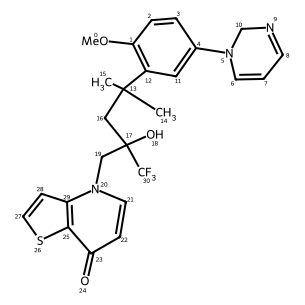 COc1ccc(N2C=CC=NC2)cc1C(C)(C)CC(O)(Cn1ccc(=O)c2sccc21)C(F)(F)F